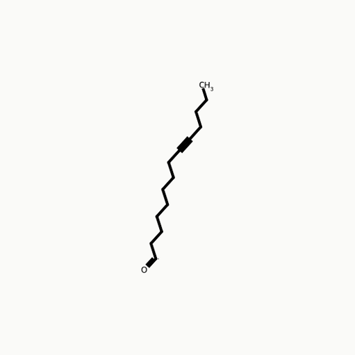 CCCCC#CCCCCCCC[C]=O